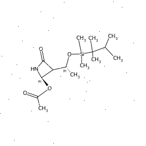 CC(=O)O[C@H]1NC(=O)C1[C@@H](C)O[Si](C)(C)C(C)(C)C(C)C